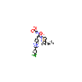 CC(C)(C)c1ccc(C(=O)N[C@@H](Cc2ccc(-c3ncc(C4=CCC(C(F)(F)F)CC4)cn3)cc2)C(=O)N2CC(C(=O)O)C2)s1